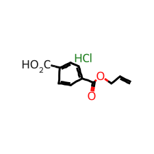 C=CCOC(=O)c1ccc(C(=O)O)cc1.Cl